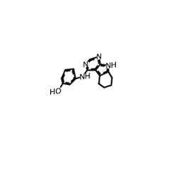 Oc1cccc(Nc2ncnc3[nH]c4c(c23)CCCC4)c1